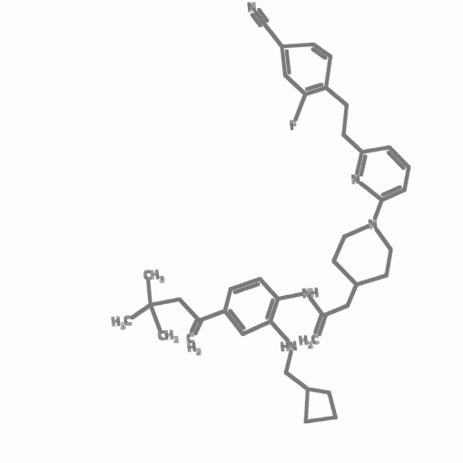 C=C(CC1CCN(c2cccc(CCc3ccc(C#N)cc3F)n2)CC1)Nc1ccc(C(=C)CC(C)(C)C)cc1NCC1CCC1